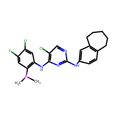 CP(C)c1cc(F)c(Cl)cc1Nc1nc(Nc2ccc3c(c2)CCCCC3)ncc1Cl